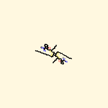 [C-]#[N+]/C(C#N)=C1\C(=Cc2cc(CCCCCC)c(-c3cc4c(-c5ccc(CCCCCCCCCCCC)s5)c5sc(-c6sc(C=C7C(=O)c8ccccc8/C7=C(/C#N)[N+]#[C-])cc6CCCCCC)cc5c(-c5ccc(CCCCCCCCCCCC)s5)c4s3)s2)C(=O)c2ccccc21